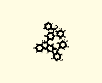 O=P(c1ccccc1)(c1ccccc1)c1ccc(-c2nc3ccccc3c3cc4c5ccccc5n(-c5ccccc5)c4cc23)cc1